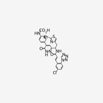 CC(C)c1nc(CC(NC(=O)C=Cc2cc(Cl)ccc2-n2cnnn2)c2cc(-c3ccc(NC(=O)O)cc3)c(=O)[nH]n2)cs1